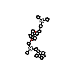 c1ccc(-c2nc(-c3ccccc3)nc(-c3ccc(-c4ccc5cc6c(cc5c4)C4(c5ccccc5-c5ccccc54)c4c-6ccc5cc(-c6cccc(-c7nc(-c8ccccc8)nc(-c8ccc9cc%10c(cc9c8)C8(c9ccccc9-c9ccccc98)c8c-%10ccc9ccccc89)n7)c6)ccc45)cc3)n2)cc1